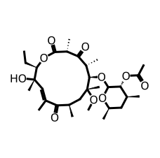 CC[C@H]1OC(=O)[C@H](C)C(=O)[C@H](C)[C@@H](OC2O[C@H](C)C[C@H](C)[C@H]2OC(C)=O)[C@](C)(OC)C[C@@H](C)C(=O)/C(C)=C/[C@]1(C)O